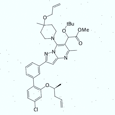 C=CCOC1(C)CCN(c2c(C(OC(C)(C)C)C(=O)OC)c(C)nc3cc(-c4cccc(-c5ccc(Cl)cc5O[C@@H](C)CC=C)c4)nn23)CC1